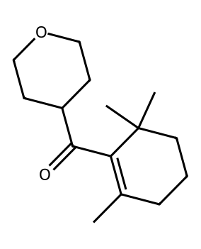 CC1=C(C(=O)C2CCOCC2)C(C)(C)CCC1